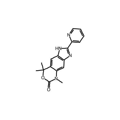 CN1C(=O)OC(C)(C)c2cc3[nH]c(-c4ccccn4)nc3cc21